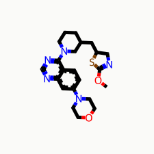 COC1=NCC(CC2CCCN(c3ncnc4cc(N5CCOCC5)ccc34)C2)S1